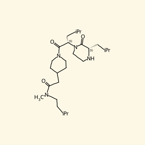 CC(C)CCN(C)C(=O)CC1CCN(C(=O)[C@H](CC(C)C)N2CCN[C@@H](CC(C)C)C2=O)CC1